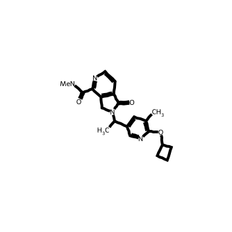 CNC(=O)c1nccc2c1CN(C(C)c1cnc(OC3CCC3)c(C)c1)C2=O